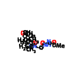 C=C(C)[C@@H]1CC[C@]2(C(=O)NCCc3cccc(C(=O)NCc4ccc(C(=O)OC)cn4)c3)CC[C@]3(C)C(CCC4C5(C)CCC(=O)C(C)(C)C5CC[C@]43C)C12